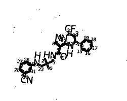 CC(C)(CNC(=O)c1cnn2c1N[C@@H](c1ccccc1)C[C@H]2C(F)(F)F)CNc1cccc(C#N)c1